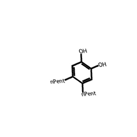 CCCCCc1cc(O)c(O)cc1CCCCC